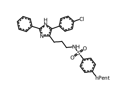 CCCCCc1ccc(S(=O)(=O)NCCCc2nc(-c3ccccc3)[nH]c2-c2ccc(Cl)cc2)cc1